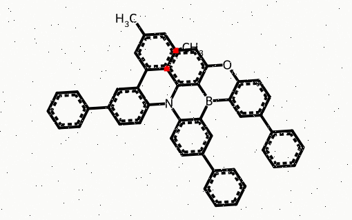 Cc1cc(C)cc(-c2cc(-c3ccccc3)ccc2N2c3ccc(-c4ccccc4)cc3B3c4cc(-c5ccccc5)ccc4Oc4cccc2c43)c1